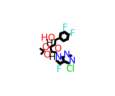 CC1(C)O[C@H]2[C@@H](O1)[C@H](n1cc(F)c3c(Cl)ncnc31)O[C@@H]2[C@H](O)c1ccc(F)c(F)c1